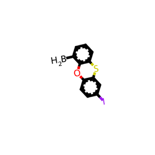 Bc1cccc2c1Oc1ccc(I)cc1S2